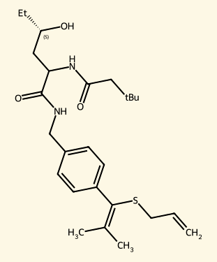 C=CCSC(=C(C)C)c1ccc(CNC(=O)C(C[C@@H](O)CC)NC(=O)CC(C)(C)C)cc1